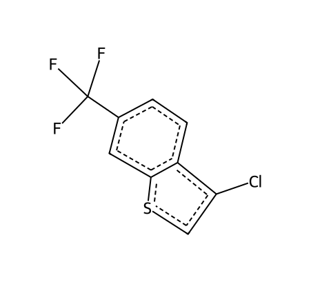 FC(F)(F)c1ccc2c(Cl)csc2c1